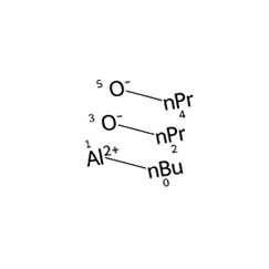 CCC[CH2][Al+2].CCC[O-].CCC[O-]